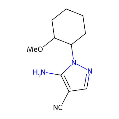 COC1CCCCC1n1ncc(C#N)c1N